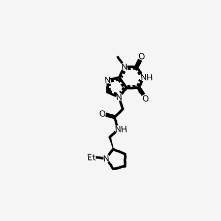 CCN1CCC[C@@H]1CNC(=O)Cn1cnc2c1c(=O)[nH]c(=O)n2C